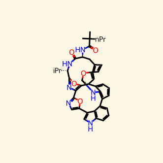 CCCC(C)(C)C(=O)N[C@H]1Cc2ccc3c(c2)[C@]24c5cccc(c5NC2O3)-c2cccc3[nH]cc(c23)-c2cnc(o2)-c2nc(oc24)[C@H](C(C)C)NC1=O